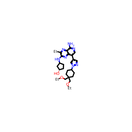 CCOCC1(COCC)CCC(n2cc(-c3cnc(N)c4nc(CC)c(NC5CC[C@H](O)C5)nc34)cn2)CC1